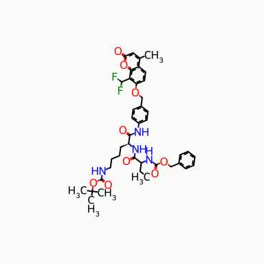 CCC(NC(=O)OCc1ccccc1)C(=O)N[C@@H](CCCCNC(=O)OC(C)(C)C)C(=O)Nc1ccc(COc2ccc3c(C)cc(=O)oc3c2C(F)F)cc1